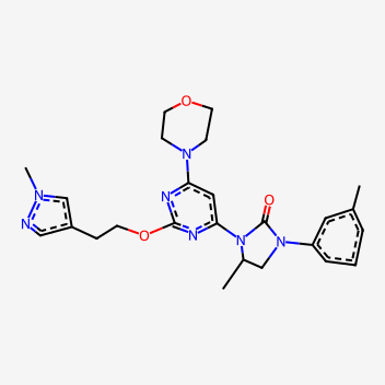 Cc1cccc(N2CC(C)N(c3cc(N4CCOCC4)nc(OCCc4cnn(C)c4)n3)C2=O)c1